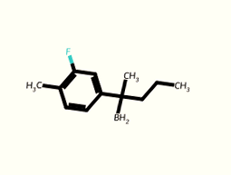 BC(C)(CCC)c1ccc(C)c(F)c1